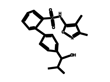 Cc1noc(NS(=O)(=O)c2ccccc2-c2ccc(C(O)C(C)C)cc2)c1C